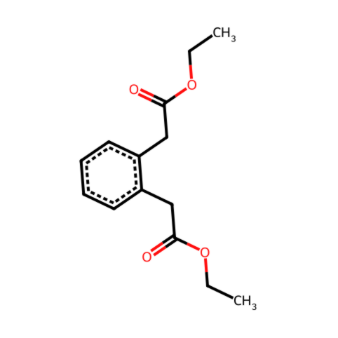 CCOC(=O)Cc1ccccc1CC(=O)OCC